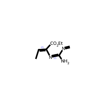 C=N/C(N)=N\C(=C/C)C(=O)OCC